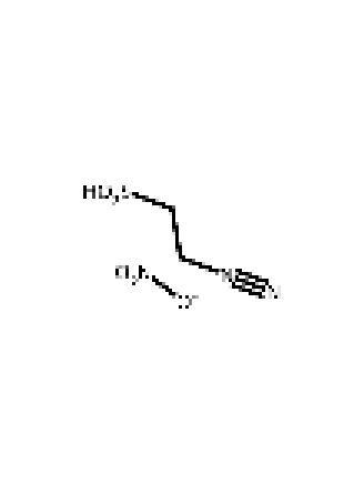 N#[N+]CCS(=O)(=O)O.O=[N+]([O-])[O-]